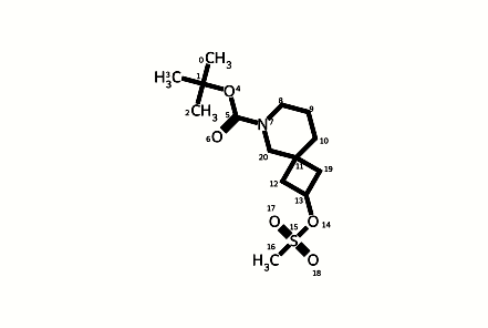 CC(C)(C)OC(=O)N1CCCC2(CC(OS(C)(=O)=O)C2)C1